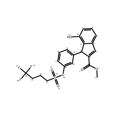 COC(=O)C1=Cc2cccc(O)c2C1c1cccc(OS(=O)(=O)CCCC(F)(F)F)c1